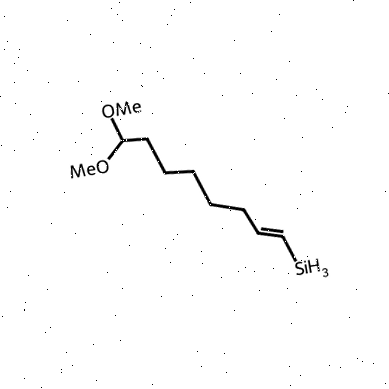 COC(CCCCCC=C[SiH3])OC